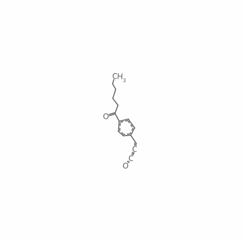 CCCCCC(=O)c1ccc(C=C=C=O)cc1